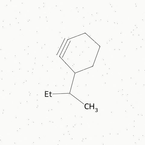 CCC(C)C1C#CCCC1